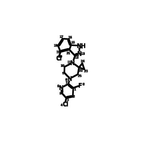 Fc1cc(Cl)cnc1N1CCN(c2n[nH]c3cccc(Cl)c23)C2(CC2)C1